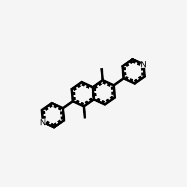 Cc1c(-c2ccncc2)ccc2c(C)c(-c3ccncc3)ccc12